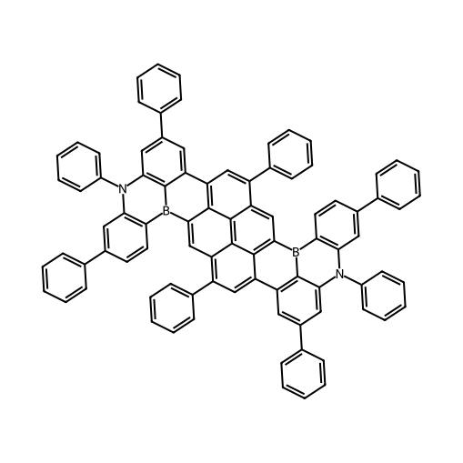 c1ccc(-c2ccc3c(c2)N(c2ccccc2)c2cc(-c4ccccc4)cc4c2B3c2cc3c(-c5ccccc5)cc5c6c(cc7c(-c8ccccc8)cc-4c2c7c36)B2c3ccc(-c4ccccc4)cc3N(c3ccccc3)c3cc(-c4ccccc4)cc-5c32)cc1